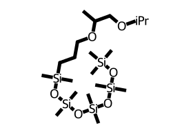 [CH2]C(C)OCC(C)OCCC[Si](C)(C)O[Si](C)(C)O[Si](C)(C)O[Si](C)(C)O[Si](C)(C)C